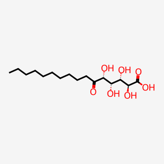 CCCCCCCCCCC(=O)[C@H](O)[C@@H](O)[C@H](O)[C@H](O)C(=O)O